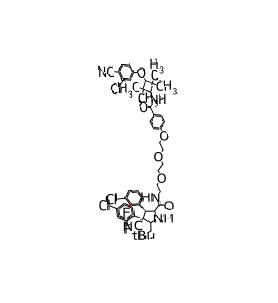 CC(C)(C)CC1NC(C(=O)NCCOCCOCCOc2ccc(C(=O)N[C@H]3C(C)(C)[C@H](Oc4ccc(C#N)c(Cl)c4)C3(C)C)cc2)[C@H](c2cccc(Cl)c2F)[C@@]1(C#N)c1ccc(Cl)cc1F